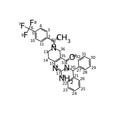 C[C@@H](c1ccc(C(F)(F)F)cc1)N1CCc2nc(N)n(C(c3ccccc3)c3ccccc3)c(=O)c2C1